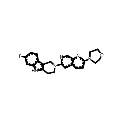 Fc1ccc2c3c([nH]c2c1)CCN(c1cc2ccc(N4CCOCC4)nc2cn1)C3